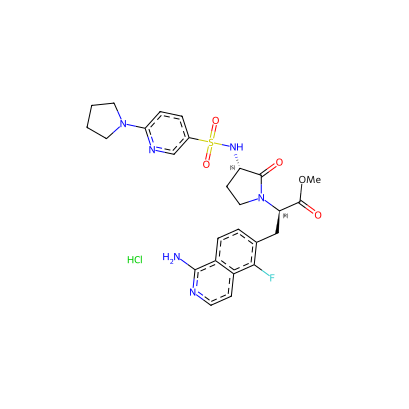 COC(=O)[C@@H](Cc1ccc2c(N)nccc2c1F)N1CC[C@H](NS(=O)(=O)c2ccc(N3CCCC3)nc2)C1=O.Cl